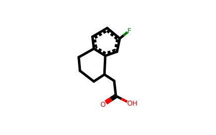 O=C(O)CC1CCCc2ccc(F)cc21